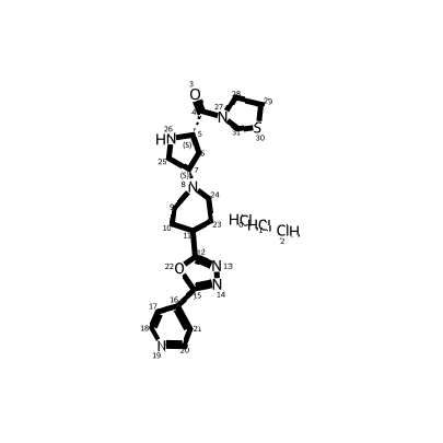 Cl.Cl.Cl.O=C([C@@H]1C[C@H](N2CCC(c3nnc(-c4ccncc4)o3)CC2)CN1)N1CCSC1